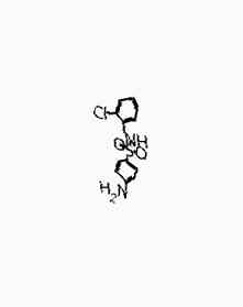 Nc1ccc(S(=O)(=O)NCc2ccccc2Cl)cc1